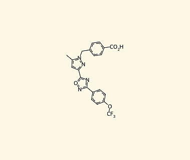 Cc1cc(-c2nc(-c3ccc(OC(F)(F)F)cc3)no2)nn1Cc1ccc(C(=O)O)cc1